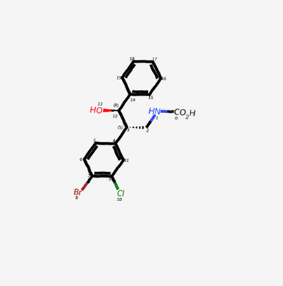 O=C(O)NC[C@H](c1ccc(Br)c(Cl)c1)[C@@H](O)c1ccccc1